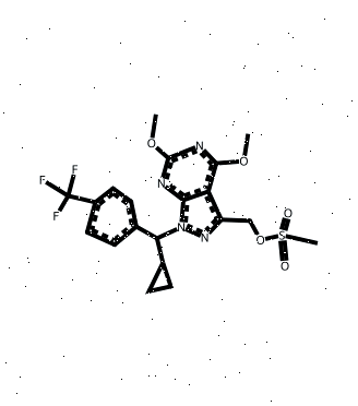 COc1nc(OC)c2c(COS(C)(=O)=O)nn(C(c3ccc(C(F)(F)F)cc3)C3CC3)c2n1